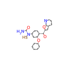 NC(=O)N(S)c1ccc(C(=O)c2cc3cccnc3o2)c(Oc2ccccc2)c1